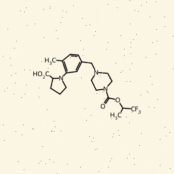 Cc1ccc(CN2CCN(C(=O)OC(C)C(F)(F)F)CC2)cc1N1CCCC1C(=O)O